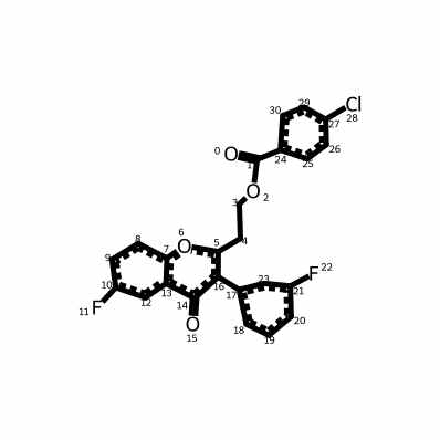 O=C(OCCc1oc2ccc(F)cc2c(=O)c1-c1cccc(F)c1)c1ccc(Cl)cc1